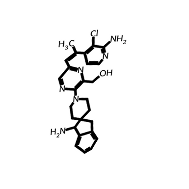 CC(=Cc1cnc(N2CCC3(CC2)Cc2ccccc2C3N)c(CO)n1)c1ccnc(N)c1Cl